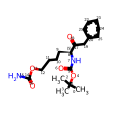 CC(C)(C)OC(=O)N[C@@H](CCCCOC(N)=O)C(=O)Cc1ccccc1